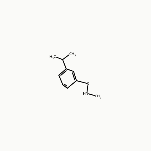 CNSc1cccc(C(C)C)c1